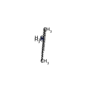 CCCCCC=CCC=CCCCCCCCCCCCC(CCCCCCCCC)N(C)C